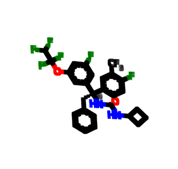 O=C(NC1CCC1)N[C@@](Cc1ccccc1)(c1cc(F)cc(OC(F)(F)C(F)F)c1)c1ccc(F)c(C(F)(F)F)c1